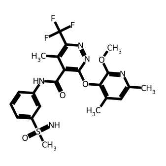 COc1nc(C)cc(C)c1Oc1nnc(C(F)(F)F)c(C)c1C(=O)Nc1cccc(S(C)(=N)=O)c1